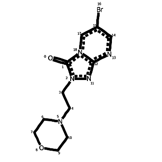 O=c1n(CCN2CCOCC2)nc2ncc(Br)cn12